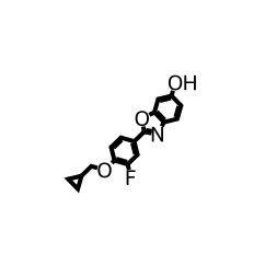 Oc1ccc2nc(-c3ccc(OCC4CC4)c(F)c3)oc2c1